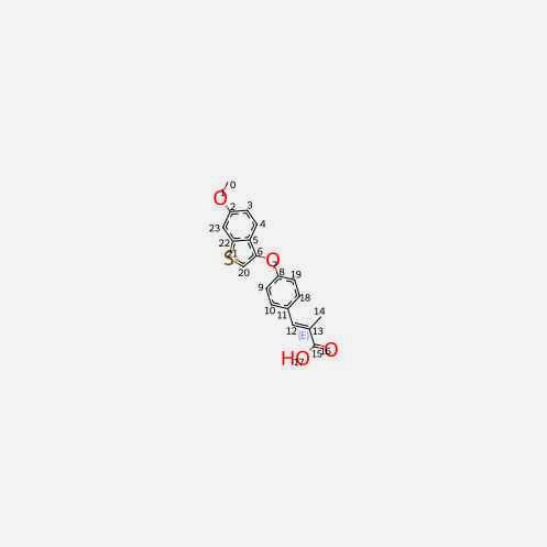 COc1ccc2c(Oc3ccc(/C=C(\C)C(=O)O)cc3)csc2c1